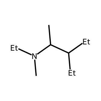 CCC(CC)C(C)N(C)CC